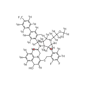 [2H]C1=C(SCc2c([2H])c([2H])c([2H])c(F)c2F)N(CC(=O)N(C([2H])([2H])c2c([2H])c([2H])c(-c3c([2H])c([2H])c(C(F)(F)F)c([2H])c3[2H])c([2H])c2C)C2([2H])C([2H])([2H])C([2H])([2H])N(C([2H])([2H])C([2H])([2H])OC([2H])([2H])[2H])C([2H])([2H])C2([2H])[2H])c2c([2H])c([2H])c([2H])c([2H])c2C1O